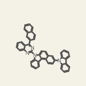 c1ccc2cc(-c3nc(-n4c5ccccc5c5c6ccc(-n7c8ccccc8c8ccccc87)cc6ccc54)nc4ccccc34)ccc2c1